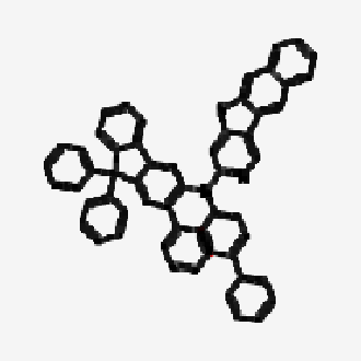 c1ccc(-c2ccc(N(c3cc4sc5cc6ccccc6cc5c4cn3)c3cc4c(cc3-c3ccccc3)C(c3ccccc3)(c3ccccc3)c3ccccc3-4)cc2)cc1